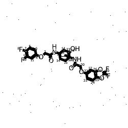 O=C(COc1ccc(F)c(F)c1)NC12CCC(NC(=O)COc3ccc4c(c3)OC(F)(F)O4)(CC1)C(O)C2